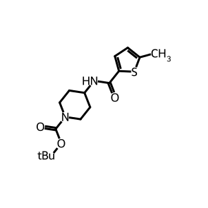 Cc1ccc(C(=O)NC2CCN(C(=O)OC(C)(C)C)CC2)s1